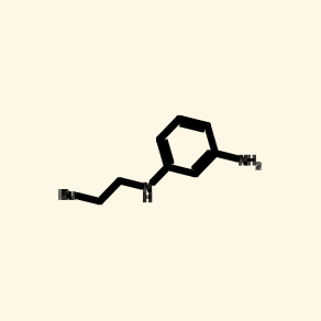 CCC(C)CCNc1cccc(N)c1